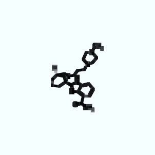 CN1CCN(CCCN2C[C@@H]3CCC[C@]2(c2nc4c(C(N)=O)cccc4[nH]2)C3)CC1